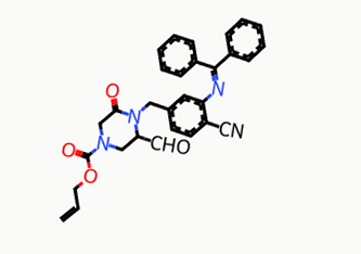 C=CCOC(=O)N1CC(=O)N(Cc2ccc(C#N)c(N=C(c3ccccc3)c3ccccc3)c2)C(C=O)C1